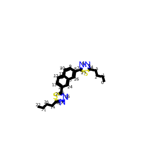 CCCCc1nnc(-c2ccc3ccc(-c4nnc(CCCC)s4)cc3c2)s1